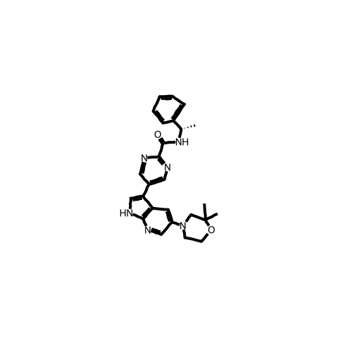 C[C@H](NC(=O)c1ncc(-c2c[nH]c3ncc(N4CCOC(C)(C)C4)cc23)cn1)c1ccccc1